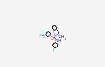 C[C@H]1Cc2ccccc2[C@H](c2ccc(C(F)(F)F)cc2)N1C(=O)Nc1ccc(F)cc1